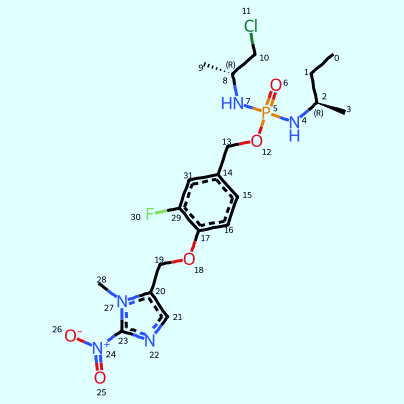 CC[C@@H](C)NP(=O)(N[C@H](C)CCl)OCc1ccc(OCc2cnc([N+](=O)[O-])n2C)c(F)c1